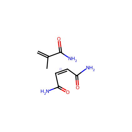 C=C(C)C(N)=O.NC(=O)/C=C\C(N)=O